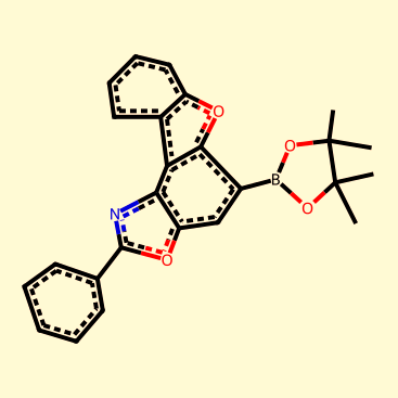 CC1(C)OB(c2cc3oc(-c4ccccc4)nc3c3c2oc2ccccc23)OC1(C)C